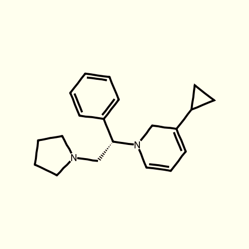 C1=CN([C@H](CN2CCCC2)c2ccccc2)CC(C2CC2)=C1